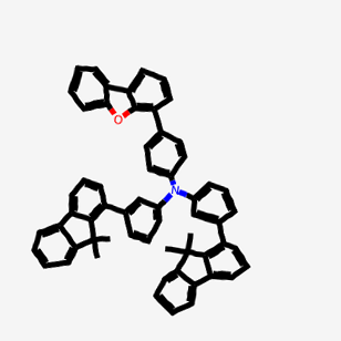 CC1(C)c2ccccc2-c2cccc(-c3cccc(N(c4ccc(-c5cccc6c5oc5ccccc56)cc4)c4cccc(-c5cccc6c5C(C)(C)c5ccccc5-6)c4)c3)c21